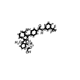 CC1(C)[C@H](C(=O)O)CC[C@@]1(C)c1nc(-c2ccc(C(=O)Nc3cc(C(F)(F)F)ccn3)cc2)c2c(N)nccn12